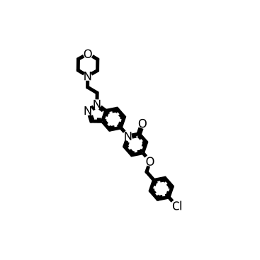 O=c1cc(OCc2ccc(Cl)cc2)ccn1-c1ccc2c(cnn2CCN2CCOCC2)c1